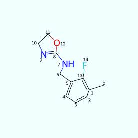 Cc1cccc(CNC2=NCCO2)c1F